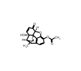 CC(=O)Oc1ccc2c3c1O[C@H]1C(=O)C=C[C@@]4(O)[C@@H](C2)N(C)CCC314